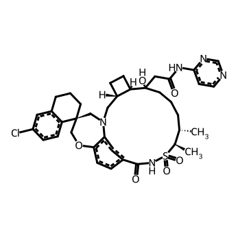 C[C@@H]1[C@@H](C)CCC[C@](O)(CC(=O)Nc2ccncn2)[C@@H]2CC[C@H]2CN2C[C@@]3(CCCc4cc(Cl)ccc43)COc3ccc(cc32)C(=O)NS1(=O)=O